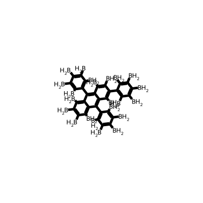 Bc1c(B)c(B)c(-c2c(B)c(B)c3c(-c4c(B)c(B)c(B)c(B)c4B)c4c(B)c(B)c(B)c(B)c4c(-c4c(B)c(B)c(B)c(B)c4B)c3c2B)c(B)c1B